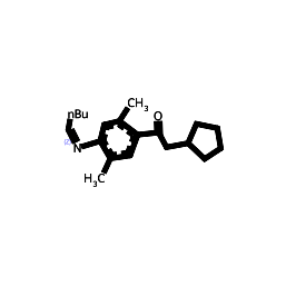 CCCC/C=N\c1cc(C)c(C(=O)CC2CCCC2)cc1C